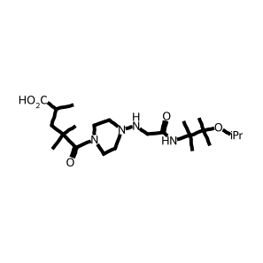 CC(C)OC(C)(C)C(C)(C)NC(=O)CNN1CCN(C(=O)C(C)(C)CC(C)C(=O)O)CC1